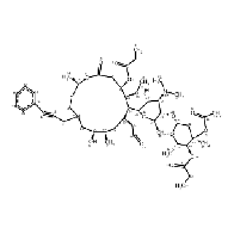 CCC(=O)O[C@@H]1CC(=O)O[C@H](C)CCN(CC#Cc2ccccc2)C[C@H](O)[C@H](C)C[C@H](CC=O)[C@H]([C@@H]2O[C@H](C)[C@@H](O[C@@H]3C[C@@](C)(OC(C)=O)[C@@H](OC(=O)CC)[C@H](C)O3)[C@H](N(C)C)[C@H]2O)[C@@H]1OC